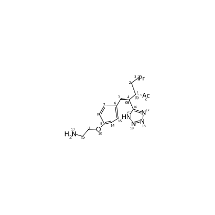 CC(=O)[C@@H](CC(C)C)[C@H](Cc1ccc(OCCN)cc1)c1nnn[nH]1